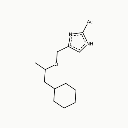 CC(=O)c1nc(COC(C)CC2CCCCC2)c[nH]1